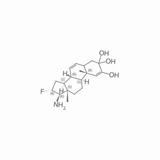 C[C@]12CC[C@H]3[C@@H](C=CC4CC(O)(O)C(O)=C[C@@]43C)[C@@H]1C[C@@H](F)[C@@H]2N